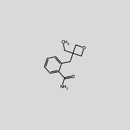 CCC1(Cc2ccccc2C(N)=O)COC1